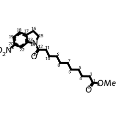 COC(=O)CCCCCCCCCC(=O)N1CCc2ccc([N+](=O)[O-])cc21